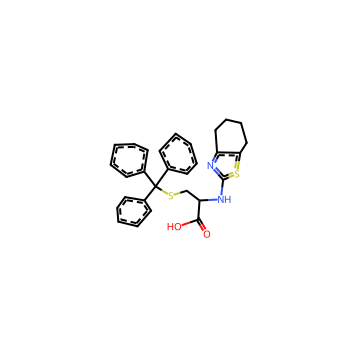 O=C(O)C(CSC(c1ccccc1)(c1ccccc1)c1ccccc1)Nc1nc2c(s1)CCCC2